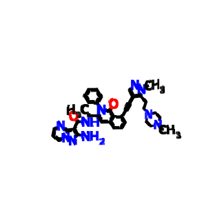 CC(NC(=O)c1c(N)nn2cccnc12)c1cc2cccc(C#Cc3cnn(C)c3CCN3CCN(C)CC3)c2c(=O)n1-c1ccccc1